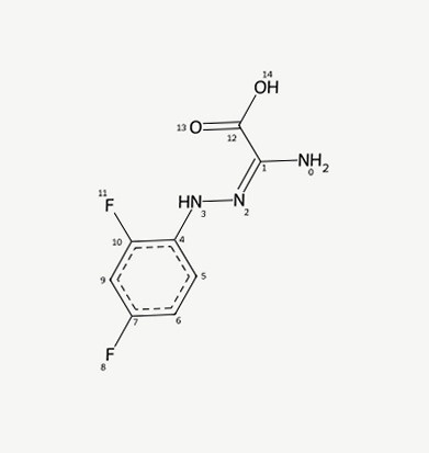 N/C(=N/Nc1ccc(F)cc1F)C(=O)O